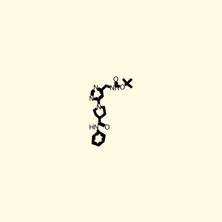 CC(C)(C)OC(=O)NCc1cc(N2CCC(C(=O)Nc3ccccc3)CC2)ncn1